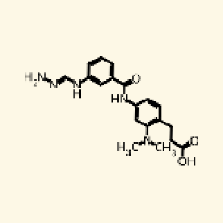 CN(C)c1cc(NC(=O)c2cccc(NC=NN)c2)ccc1CCC(=O)O